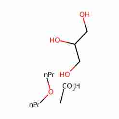 CC(=O)O.CCCOCCC.OCC(O)CO